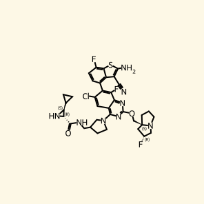 N#Cc1c(N)sc2c(F)ccc(-c3c(Cl)cc4c(N5CCC(CNC(=O)[C@@H]6N[C@H]6C6CC6)C5)nc(OC[C@@]56CCCN5C[C@H](F)C6)nc4c3F)c12